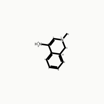 CN1C=C(N)c2ccccc2C1